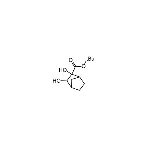 CC(C)(C)OC(=O)C1(O)C2CCC(C2)C1O